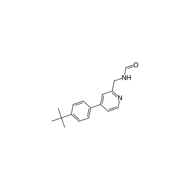 CC(C)(C)c1ccc(-c2ccnc(CNC=O)c2)cc1